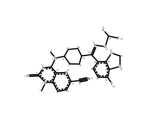 CN(c1nc(=O)n(C)c2ccc(C#N)nc12)C1CCC(/C(=N/OC(F)F)c2ccc(F)c3c2OCO3)CC1